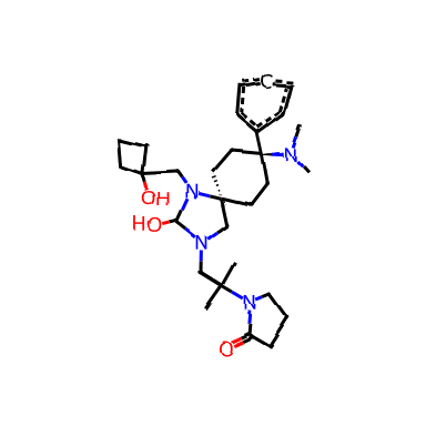 CN(C)[C@]1(c2ccccc2)CC[C@]2(CC1)CN(CC(C)(C)N1CCCC1=O)C(O)N2CC1(O)CCC1